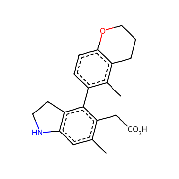 Cc1cc2c(c(-c3ccc4c(c3C)CCCO4)c1CC(=O)O)CCN2